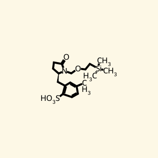 Cc1ccc(S(=O)(=O)O)c(C[C@H]2CCC(=O)N2COCC[Si](C)(C)C)c1